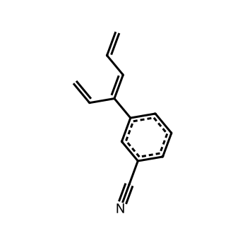 C=C/C=C(\C=C)c1cccc(C#N)c1